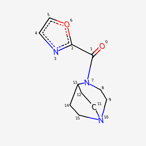 O=C(c1ncco1)N1CCN2CCC1CC2